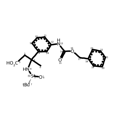 CC(CC(=O)O)(N[S@+]([O-])C(C)(C)C)c1cccc(NC(=O)OCc2ccccc2)c1